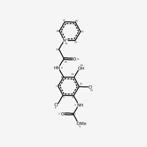 COC(=O)Nc1c(Cl)cc(NC(=O)C[n+]2ccccc2)c(O)c1Cl